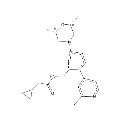 Cc1cc(-c2ccc(N3C[C@@H](C)O[C@@H](C)C3)cc2CNC(=O)CC2CC2)ccn1